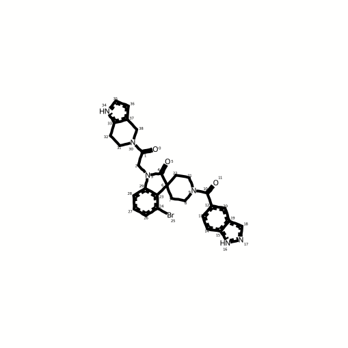 O=C(CN1C(=O)C2(CCN(C(=O)c3ccc4[nH]ncc4c3)CC2)c2c(Br)cccc21)N1CCc2[nH]ccc2C1